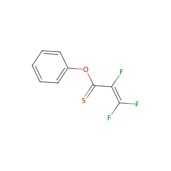 FC(F)=C(F)C(=S)Oc1ccccc1